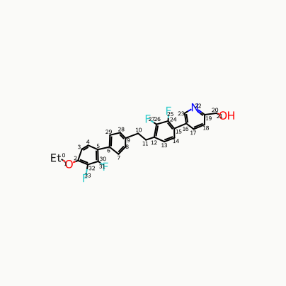 CCOc1ccc(-c2ccc(CCc3ccc(-c4ccc(CO)nc4)c(F)c3F)cc2)c(F)c1F